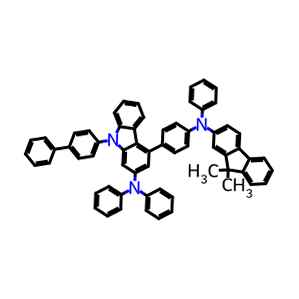 CC1(C)c2ccccc2-c2ccc(N(c3ccccc3)c3ccc(-c4cc(N(c5ccccc5)c5ccccc5)cc5c4c4ccccc4n5-c4ccc(-c5ccccc5)cc4)cc3)cc21